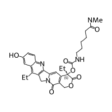 CCc1c2c(nc3ccc(O)cc13)-c1cc3c(c(=O)n1C2)COC(=O)[C@@]3(CC)OC(=O)NCCCCCC(=O)NC